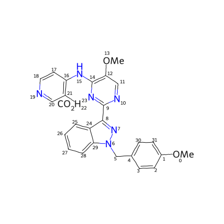 COc1ccc(Cn2nc(-c3ncc(OC)c(Nc4ccncc4C(=O)O)n3)c3ccccc32)cc1